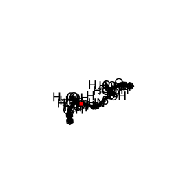 CC(=O)N[C@H]1[C@H]([C@H](O)[C@H](O)CNC(=O)c2ccc(-c3ccccc3)cc2)O[C@@](OCCCSCCNCc2ccc(CNCCSCCO[C@]3(C(=O)O)C[C@H](O)[C@@H](NC(C)=O)[C@H]([C@H](O)[C@H](O)CNC(=O)c4ccc(-c5ccccc5)cc4)O3)cc2)(C(=O)O)C[C@@H]1O